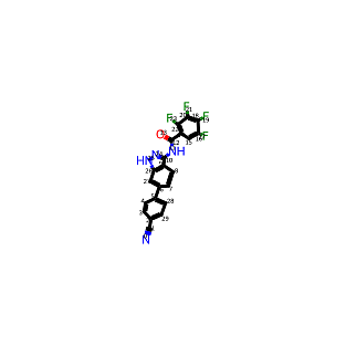 N#Cc1ccc(-c2ccc3c(NC(=O)c4cc(F)c(F)c(F)c4F)n[nH]c3c2)cc1